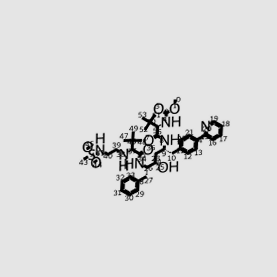 COC(=O)N[C@H](C(=O)N[C@H](Cc1ccc(-c2ccccn2)cc1)C[C@H](O)[C@H](Cc1ccccc1)NC(=O)[C@@H](NCCNS(C)(=O)=O)C(C)(C)C)C(C)(C)C